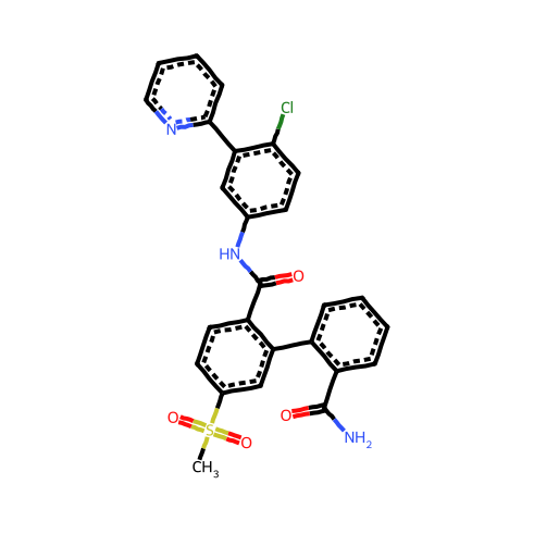 CS(=O)(=O)c1ccc(C(=O)Nc2ccc(Cl)c(-c3ccccn3)c2)c(-c2ccccc2C(N)=O)c1